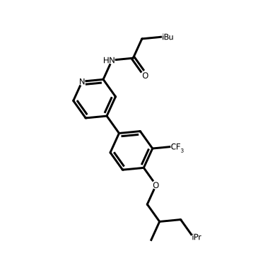 CCC(C)CC(=O)Nc1cc(-c2ccc(OCC(C)CC(C)C)c(C(F)(F)F)c2)ccn1